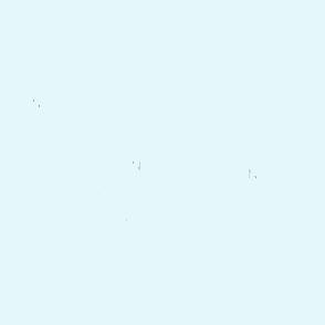 CNCc1cc(-c2cccnc2)n(S(=O)(=O)c2ccccc2)c1